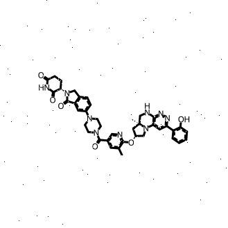 Cc1cc(C(=O)N2CCN(c3ccc4c(c3)C(=O)N([C@H]3CCC(=O)NC3=O)C4)CC2)cnc1O[C@H]1CN2c3cc(-c4ccccc4O)nnc3NC[C@]2(C)C1